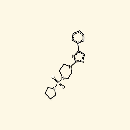 O=S(=O)(N1CCCC1)N1CCN(c2nc(-c3ccccc3)cs2)CC1